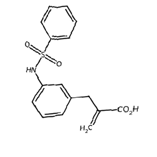 C=C(Cc1cccc(NS(=O)(=O)c2ccccc2)c1)C(=O)O